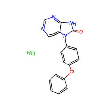 Cl.O=c1[nH]c2ncncc2n1-c1ccc(Oc2ccccc2)cc1